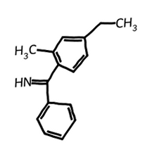 CCc1ccc(C(=N)c2ccccc2)c(C)c1